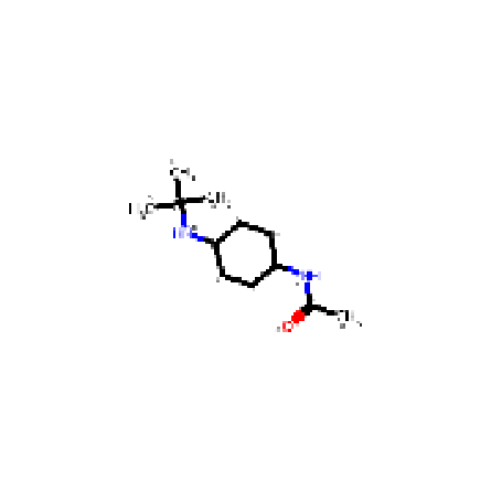 CC(=O)NC1CCC(NC(C)(C)C)CC1